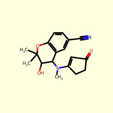 CN(C1=CC(=O)CC1)C1c2cc(C#N)ccc2OC(C)(C)C1O